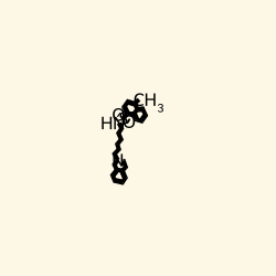 Cc1ccc(S(=O)(=O)NCCCCCCN2CCc3ccccc3C2)c2ccccc12